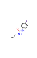 CCCNC(=O)Nc1ccc(I)cc1